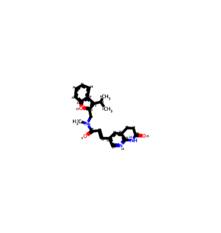 CC(C)c1c(CN(C)C(=O)C=Cc2cnc3c(c2)CCC(=O)N3)oc2ccccc12